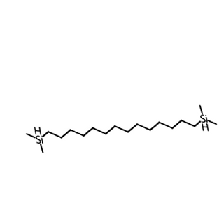 C[SiH](C)CCCCCCCCCCCCCC[SiH](C)C